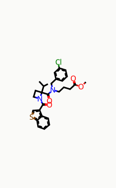 COC(=O)CCCN(Cc1cccc(Cl)c1)C(=O)C1(C(C)C)CCN1C(=O)c1csc2ccccc12